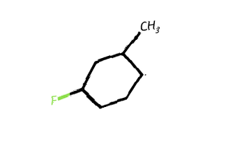 CC1[CH]CCC(F)C1